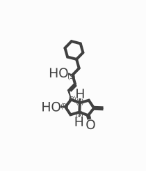 C=C1C[C@H]2[C@H](C=C[C@@H](O)CC3CCCCC3)[C@H](O)C[C@@H]2C1=O